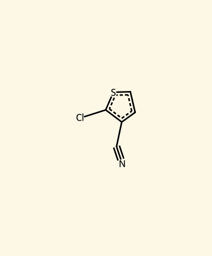 N#Cc1ccsc1Cl